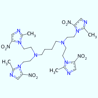 Cc1ncc([N+](=O)[O-])n1CCN(CCCCN(CCn1c([N+](=O)[O-])cnc1C)CCn1c([N+](=O)[O-])cnc1C)CCn1c([N+](=O)[O-])cnc1C